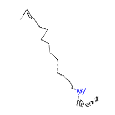 C/C=C\CCCCCCCCCNCCCCC